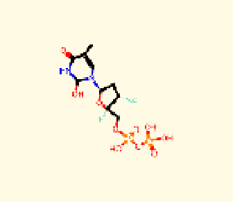 CC1=CN([C@H]2C[C@H](F)[C@@](F)(COP(=O)(O)OP(=O)(O)O)O2)C(O)NC1=O